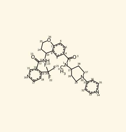 CN(C(=O)c1ccc2c(c1)C(NC(=O)c1cnccc1C(F)(F)F)CCO2)C1CCN(c2ccncc2)CC1